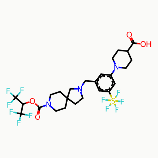 O=C(O)C1CCN(c2cc(CN3CCC4(CCN(C(=O)OC(C(F)(F)F)C(F)(F)F)CC4)C3)cc(S(F)(F)(F)(F)F)c2)CC1